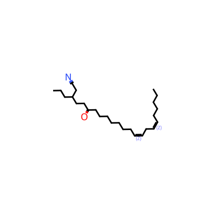 CCCCC/C=C\C/C=C\CCCCCCCC(=O)CCC(CC#N)CCC